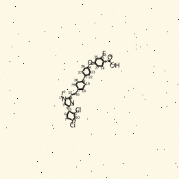 CCn1cc(-c2ccc(Cl)cc2Cl)nc1C=Cc1ccc(-c2ccc(Oc3ccc(C(=O)O)c(F)c3)cc2)cc1